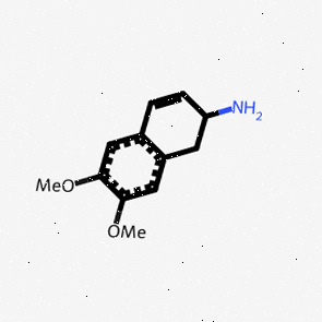 COc1cc2c(cc1OC)CC(N)C=C2